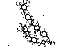 CC(C)N(CC1CCN(c2cnc(C(=O)N[C@H]3CC[C@H](Oc4ccc(C#N)c(Cl)c4)CC3)cn2)CC1)[C@H]1C[C@H](Oc2ccc(C(=O)NC3CCC(=O)NC3O)c(F)c2)C1